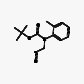 Cc1ccccc1N(C[C]=O)C(=O)OC(C)(C)C